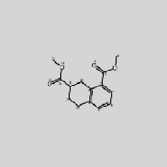 COC(=O)c1cccc2c1CC(C(=O)OC)CC2